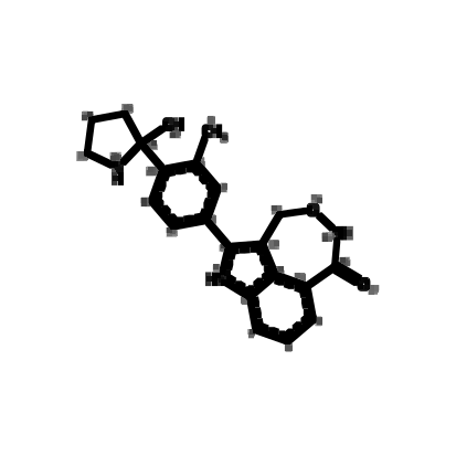 Cc1cc(-c2[nH]c3cccc4c3c2CONC4=O)ccc1C1(O)CCCN1